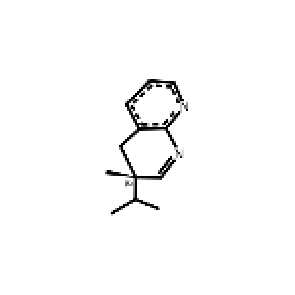 CC(C)[C@@]1(C)C=Nc2ncccc2C1